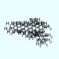 Bc1c(B)c(B)c(-c2c(B)c(B)c3c(B)c(-c4c5c(B)c(B)c(B)c(B)c5c(-c5c(B)c(B)c(B)c6oc7c8c(B)c(B)c(B)c(B)c8c(B)c(B)c7c56)c5c(B)c(B)c(B)c(B)c45)c(B)c(B)c3c2B)c(B)c1B